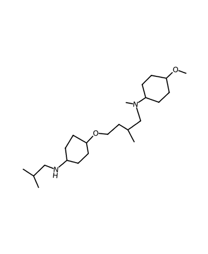 COC1CCC(N(C)CC(C)CCOC2CCC(NCC(C)C)CC2)CC1